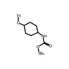 CCOC1CCC(NC(=O)OC(C)(C)C)CC1